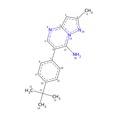 Cc1cc2ncc(-c3ccc(C(C)(C)C)cc3)c(N)n2n1